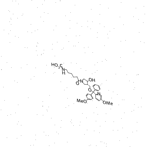 COc1ccc(C(OCC2CN(C(=O)CCCCCNC(=O)O)CC2O)(c2ccccc2)c2ccc(OC)cn2)cc1